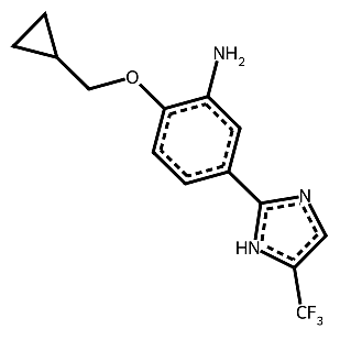 Nc1cc(-c2ncc(C(F)(F)F)[nH]2)ccc1OCC1CC1